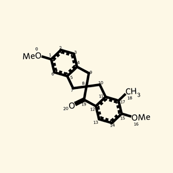 COc1ccc2c(c1)CC1(C2)Cc2c(ccc(OC)c2C)C1=O